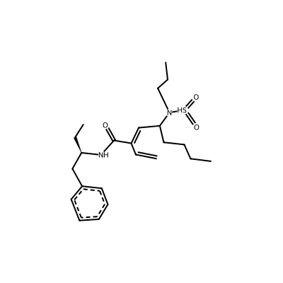 C=C/C(=C\C(CCCC)N(CCC)[SH](=O)=O)C(=O)N[C@H](CC)Cc1ccccc1